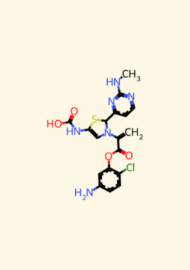 C=C(C(=O)Oc1cc(N)ccc1Cl)N1C=C(NC(=O)O)SC1c1ccnc(NC)n1